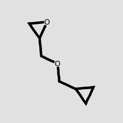 C1CC1COCC1CO1